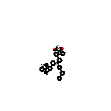 c1ccc(-c2cccc(-c3ccc(N(c4cccc(-c5ccc6c(c5)C5(c7ccccc7Oc7ccccc75)c5ccccc5-6)c4)c4cccc(-c5cccc6c5-c5ccccc5C65c6ccccc6Oc6ccccc65)c4)cc3)c2)cc1